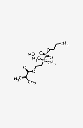 C=C(C)C(=O)OCC[N+](C)(C)S(=O)(=O)OCCC.[OH-]